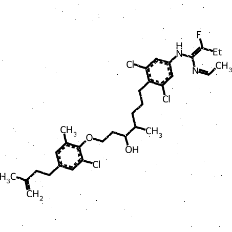 C=C(C)CCc1cc(C)c(OCCC(O)C(C)CCCc2c(Cl)cc(NC(/N=C\C)=C(\F)CC)cc2Cl)c(Cl)c1